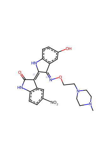 CN1CCN(CCO/N=C2/C(=C3/C(=O)Nc4ccc([N+](=O)[O-])cc43)Nc3ccc(O)cc32)CC1